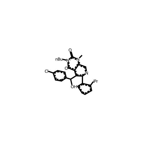 CCCCn1c(=O)c2c(C(O)c3ccc(Cl)cc3)c(-c3ccccc3C(C)C)ncc2n(C)c1=O